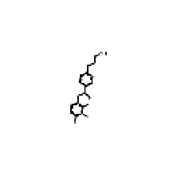 OCCCc1ccc(C(F)Cc2ccc(F)c(F)c2F)cc1